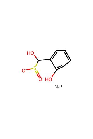 O=S([O-])C(O)c1ccccc1O.[Na+]